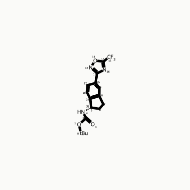 CC(C)(C)OC(=O)N[C@H]1CCc2cc(-c3noc(C(F)(F)F)n3)ccc21